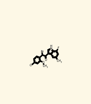 COc1cc(Cl)ccc1C(Br)C(=O)c1c[nH]c2c(F)cc(C)cc12